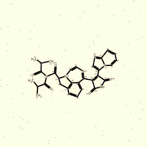 CC(C)C(=O)N(C(=O)C(C)C)C(=O)C1Cc2cccc3c2N1C=CN=C3C1=C(c2cnc3ccccn23)C(=O)NC1=O